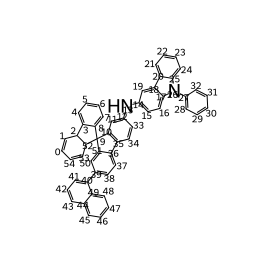 C1=CC2c3ccccc3C3(c4cc(Nc5ccc6c(c5)c5ccccc5n6-c5ccccc5)ccc4-c4ccc(-c5cccc6ccccc56)cc43)C2C=C1